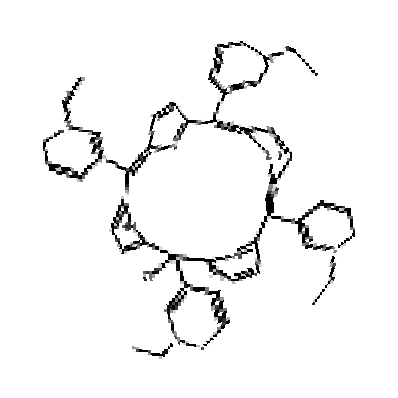 CCN1C=C(C2=C3C=CC(=N3)C(C3=CN(CC)CC=C3)=c3ccc([nH]3)=C(C3=CN(CC)CC=C3)C3=NC(Cl)(C=C3)C(Cl)(C3=CN(CC)CC=C3)c3ccc2[nH]3)C=CC1